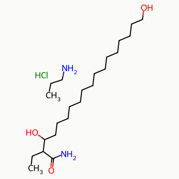 CCC(C(N)=O)C(O)CCCCCCCCCCCCCCCO.CCCN.Cl